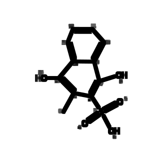 Cc1c(S(=O)(=O)O)c(O)c2ccccc2c1O